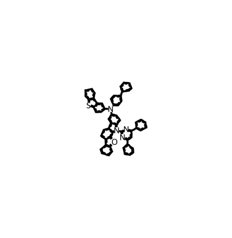 c1ccc(-c2ccc(N(c3ccc4sc5ccccc5c4c3)c3ccc4c(c3)c3ccc5c6ccccc6oc5c3n4-c3nc(-c4ccccc4)cc(-c4ccccc4)n3)cc2)cc1